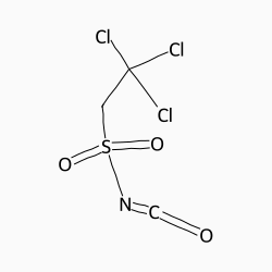 O=C=NS(=O)(=O)CC(Cl)(Cl)Cl